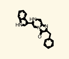 O=c1c(Cc2ccccc2)nc2c[nH]c(-c3c[nH]c4ccccc34)cn1-2